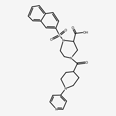 O=C(O)C1CN(C(=O)C2CCN(c3ccncc3)CC2)CCN1S(=O)(=O)c1ccc2ccccc2c1